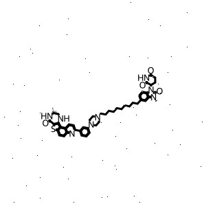 C[C@@H]1CNc2c(sc3ccc4nc(-c5cccc(N6CCN(CCCCCCCCCCc7ccc8c(c7)n(C)c(=O)n8C7CCC(=O)NC7=O)CC6)c5)ccc4c23)C(=O)N1